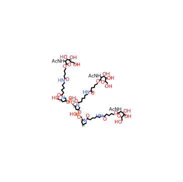 CC(=O)NC1C(O)[C@@H](O)C(CO)O[C@H]1OCCCCC(=O)NCCCCCC(=O)N1C[C@H](C)C[C@H]1COP(O)O[C@@H]1C[C@@H](COP(O)O[C@@H]2C[C@@H](CO)N(C(=O)CCCCCNC(=O)CCCCO[C@@H]3OC(CO)[C@H](O)C(O)C3NC(C)=O)C2)N(C(=O)CCCCCNC(=O)CCCCO[C@@H]2OC(CO)[C@H](O)C(O)C2NC(C)=O)C1